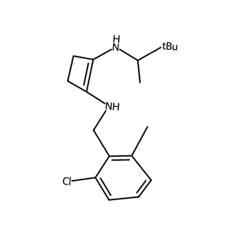 Cc1cccc(Cl)c1CNC1=C(NC(C)C(C)(C)C)CC1